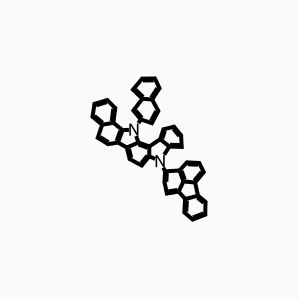 c1ccc2c(c1)-c1cccc3c(-n4c5ccccc5c5c4ccc4c6ccc7ccccc7c6n(-c6ccc7ccccc7c6)c45)ccc-2c13